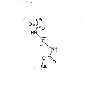 CCCS(=O)(=O)NC12CC(NC(=O)OC(C)(C)C)(C1)C2